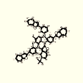 Cc1cc2c3c(c1)N(c1c(C)cc(-c4cc5ccccc5o4)cc1C)c1c(oc4ccc(C(C)(C)C)cc14)B3c1ccc(-c3cc4ccccc4o3)cc1N2c1cccc(-c2cc3ccccc3o2)c1